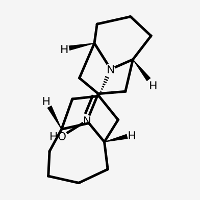 O/N=C1/C[C@H]2CCC[C@@H](C1)N2[C@@H]1C[C@@H]2CCCC[C@@H](C2)C1